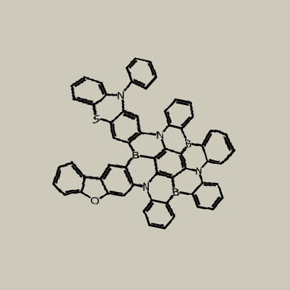 c1ccc(N2c3ccccc3Sc3cc4c(cc32)N2c3ccccc3B3c5ccccc5N5c6ccccc6B6c7ccccc7N7c8cc9oc%10ccccc%10c9cc8B4c4c2c3c5c6c47)cc1